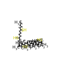 CCCCCC(S)CCCCC(S)CCCCC(C)C(C)C(C)C(C)C(C)C(C)C(S)C(C)C(C)C(C)CC(C)CC(C)C(C)C(C)CS